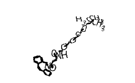 CC(C)(C)CCOCCOCCOCCOCCNC(=O)CCC(=O)N1Cc2ccccc2C#Cc2ccccc21